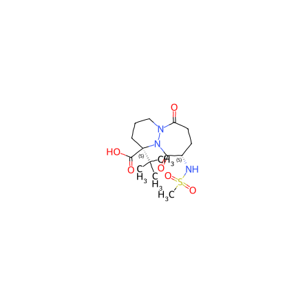 CC(C)(C)[C@]1(C(=O)O)CCCN2C(=O)CC[C@H](NS(C)(=O)=O)C(=O)N21